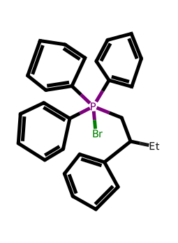 CCC(CP(Br)(c1ccccc1)(c1ccccc1)c1ccccc1)c1ccccc1